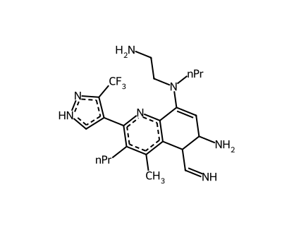 CCCc1c(-c2c[nH]nc2C(F)(F)F)nc2c(c1C)C(C=N)C(N)C=C2N(CCC)CCN